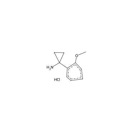 COc1ccccc1C1(N)CC1.Cl